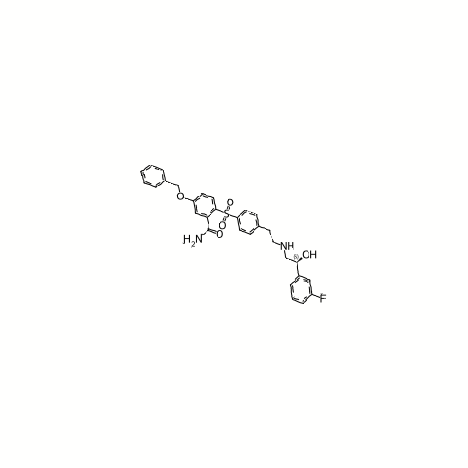 NC(=O)c1cc(OCc2ccccc2)ccc1S(=O)(=O)c1ccc(CCNC[C@@H](O)c2cccc(F)c2)cc1